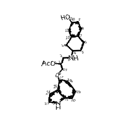 CC(=O)OC(CNC1CCc2ccc(O)cc2C1)COc1cccc2[nH]ccc12